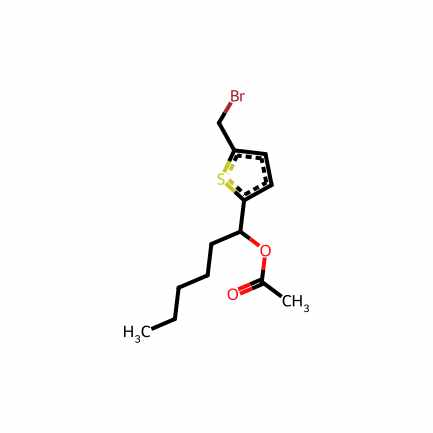 CCCCCC(OC(C)=O)c1ccc(CBr)s1